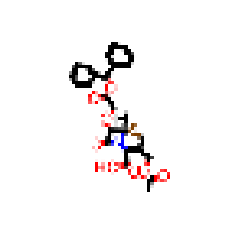 CC(=O)OCC1=C(C(=O)O)N2C(=O)[C@@H](OCC(=O)OC(c3ccccc3)c3ccccc3)[C@H]2SC1